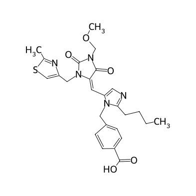 CCCCc1ncc(/C=C2\C(=O)N(COC)C(=O)N2Cc2csc(C)n2)n1Cc1ccc(C(=O)O)cc1